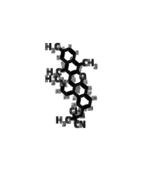 Cc1ccc2c(C)c3c(c(C)c2c1)-c1c2c(cc4ccc(CC(C)(C)C#N)cc4c2cc[n+]1C)O3